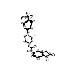 C[C@@H]1CN(CC(=O)Nc2ccc3c(c2)CC(=O)N3)CCN1c1ccc(C(F)(F)F)cn1